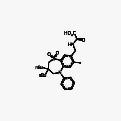 CCCCC1(CCCC)CN(c2ccccc2)c2cc(C)c(CNC(=O)C(=O)O)cc2S(=O)(=O)C1